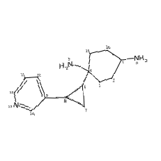 NC1CCC(N)(C2CC2c2cccnc2)CC1